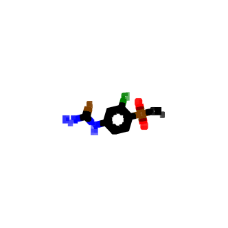 CS(=O)(=O)c1ccc(NC(N)=S)cc1Cl